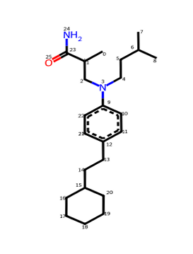 C[C](CN(CCC(C)C)c1ccc(CCC2CCCCC2)cc1)C(N)=O